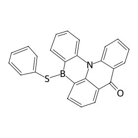 O=c1c2ccccc2n2c3c(cccc13)B(Sc1ccccc1)c1ccccc1-2